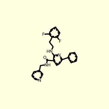 O=C(NCc1cccnc1)c1ccc(-c2ccccc2)nc1NCCc1c(F)cccc1F